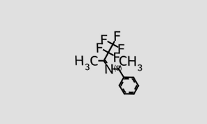 CC(=N[C@@H](C)c1ccccc1)C(F)(F)C(F)(F)F